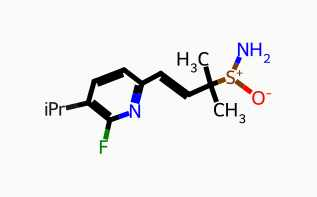 CC(C)c1ccc(C=CC(C)(C)[S+](N)[O-])nc1F